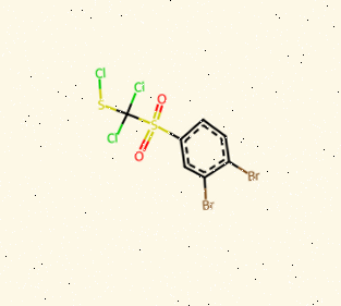 O=S(=O)(c1ccc(Br)c(Br)c1)C(Cl)(Cl)SCl